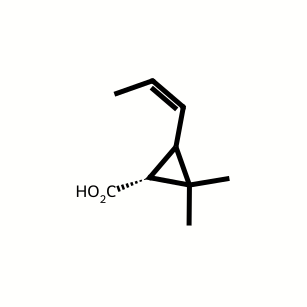 C/C=C\C1[C@@H](C(=O)O)C1(C)C